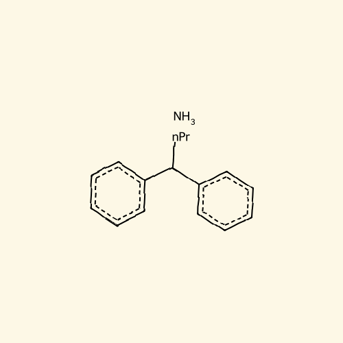 CCCC(c1ccccc1)c1ccccc1.N